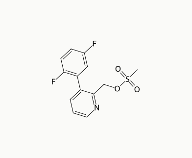 CS(=O)(=O)OCc1ncccc1-c1cc(F)ccc1F